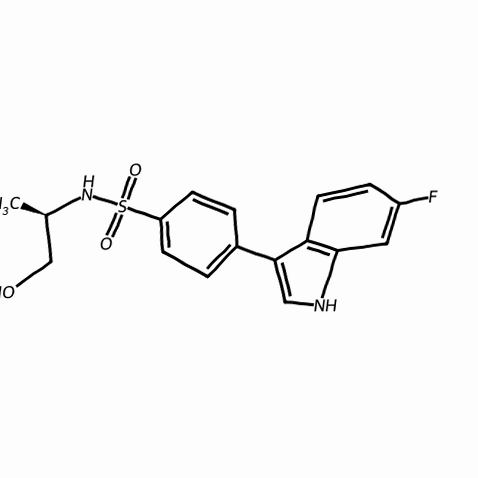 C[C@H](CO)NS(=O)(=O)c1ccc(-c2c[nH]c3cc(F)ccc23)cc1